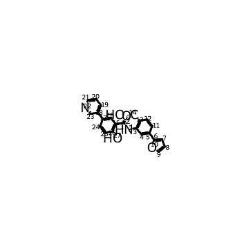 O=C(Nc1cc(-c2ccco2)ccc1C(=O)O)c1cc(-c2cccnc2)ccc1O